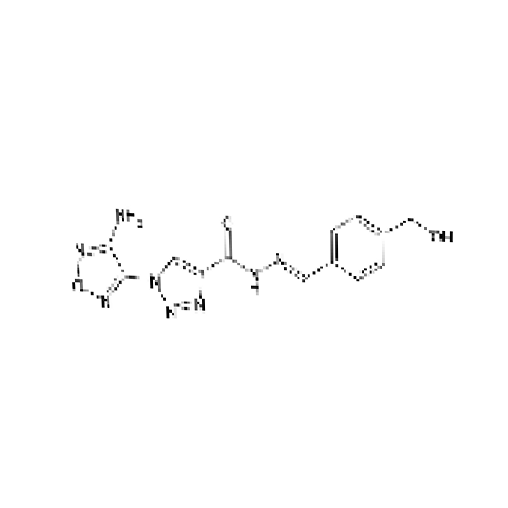 Nc1nonc1-n1cc(C(=O)NN=Cc2ccc(CO)cc2)nn1